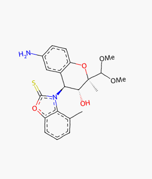 COC(OC)[C@]1(C)Oc2ccc(N)cc2[C@H](n2c(=S)oc3cccc(C)c32)[C@H]1O